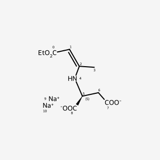 CCOC(=O)C=C(C)N[C@@H](CC(=O)[O-])C(=O)[O-].[Na+].[Na+]